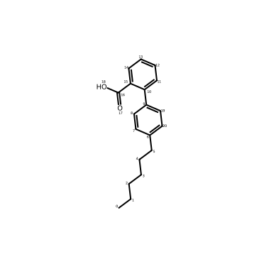 CCCCCCc1ccc(-c2ccccc2C(=O)O)cc1